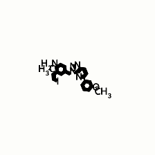 CO[C@H]1CCC[C@@H](c2ccc3nnn(CC4CCC(C)(N)C(/C=C\I)C4)c3n2)C1